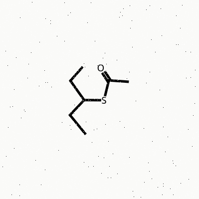 CCC(CC)SC(C)=O